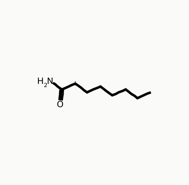 CCCCCC[CH]C(N)=O